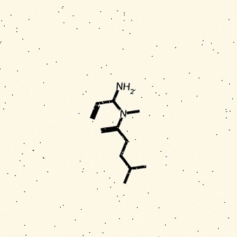 C=CC(N)N(C)C(=C)CCC(C)C